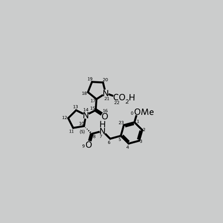 COc1cccc(CNC(=O)[C@@H]2CCCN2C(=O)C2CCCN2C(=O)O)c1